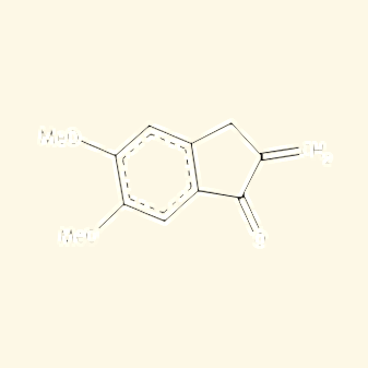 C=C1Cc2cc(OC)c(OC)cc2C1=O